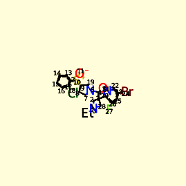 CCN1CC(C(=O)N2CCC([S+]([O-])c3ccccc3Cl)C2)(c2ncc(Br)cc2F)C1